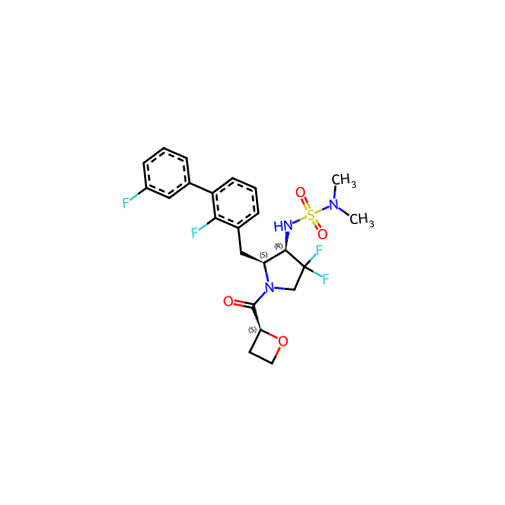 CN(C)S(=O)(=O)N[C@@H]1[C@H](Cc2cccc(-c3cccc(F)c3)c2F)N(C(=O)[C@@H]2CCO2)CC1(F)F